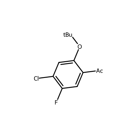 CC(=O)c1cc(F)c(Cl)cc1OC(C)(C)C